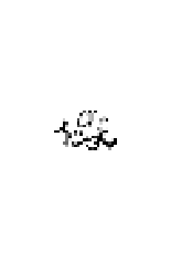 C=CC(=O)OCC[N+](C)(C)C(C)C.[Cl-]